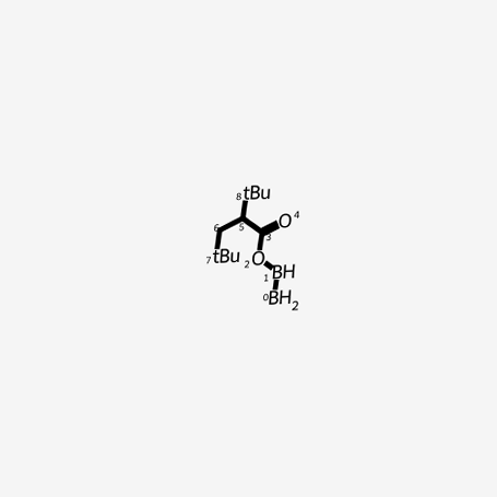 BBOC(=O)C(CC(C)(C)C)C(C)(C)C